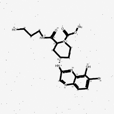 CC(C)(C)OC(=O)N1CC[C@H](Nc2cnc3ccc(Br)c(O)c3n2)CC1C(=O)NCCCO